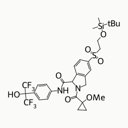 COC1(C(=O)N2Cc3cc(S(=O)(=O)CCO[Si](C)(C)C(C)(C)C)ccc3C2C(=O)Nc2ccc(C(O)(C(F)(F)F)C(F)(F)F)cc2)CC1